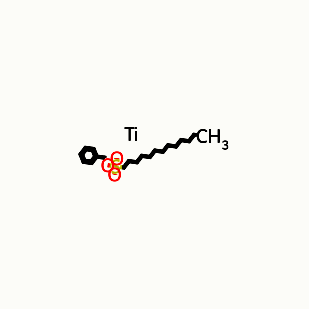 CCCCCCCCCCCCCS(=O)(=O)OCc1ccccc1.[Ti]